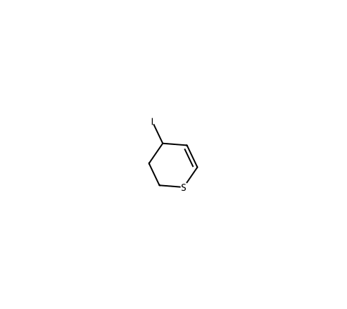 IC1C=CSCC1